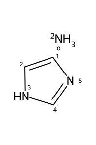 [2NH3].c1c[nH]cn1